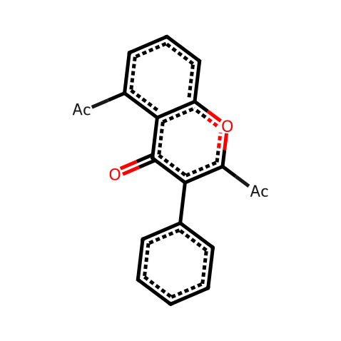 CC(=O)c1oc2cccc(C(C)=O)c2c(=O)c1-c1ccccc1